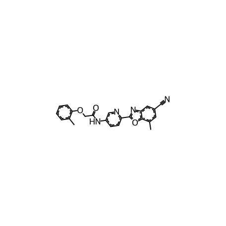 Cc1ccccc1OCC(=O)Nc1ccc(-c2nc3cc(C#N)cc(C)c3o2)nc1